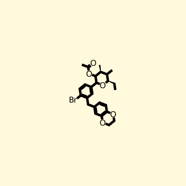 CC[C@H]1OC(c2ccc(Br)c(Cc3ccc4c(c3)OCCO4)c2)C(OC(C)=O)[C@@H](C)C1C